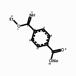 CCOC(=N)c1ccc(C(=O)OC)cc1